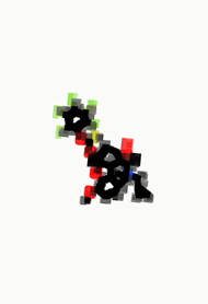 COC1=C2O[C@H]3C(OC(=S)Oc4c(F)c(F)c(F)c(F)c4F)=CC[C@@]4(O)[C@H]5CC(C=C1)C2[C@@]34CCN5CC1CC1